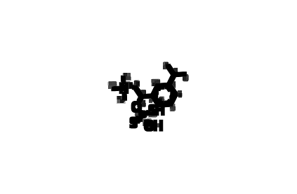 CC(C)c1cccc(C(C[N+](C)(C)C)OP(O)(=S)S)c1